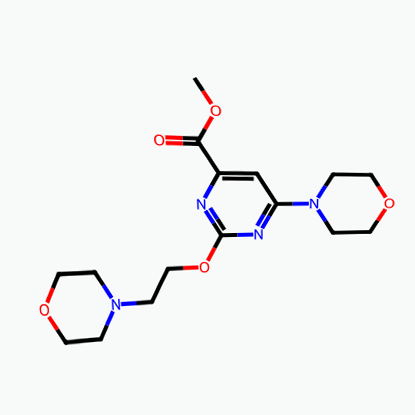 COC(=O)c1cc(N2CCOCC2)nc(OCCN2CCOCC2)n1